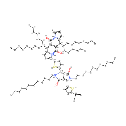 CCCCCCCCCCCCN1C(=O)C2=C(c3ccc(C(C)C)s3)N(CCCCCCCCCCCC)C(=O)C2=C1c1ccc(-c2ccc3c(C(CCCCCC)CCCCCCCC)c4c(=O)n5c(C)ccc5c(C(CCCCCC)CCCCCCCC)c4c(=O)n23)s1